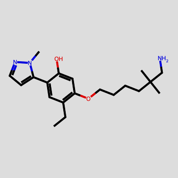 CCc1cc(-c2ccnn2C)c(O)cc1OCCCCC(C)(C)CN